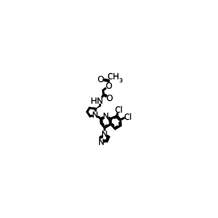 CC(=O)OCC(=O)NC[C@@H]1CCCN1c1cc(-n2ccnc2)c2ccc(Cl)c(Cl)c2n1